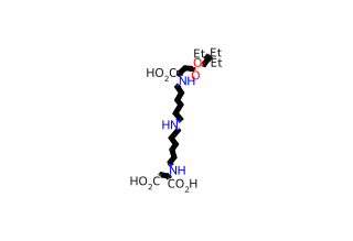 CCC(CC)(CC)COC(=O)CC(NCCCCCCNCCCCCCNC(CC(=O)O)C(=O)O)C(=O)O